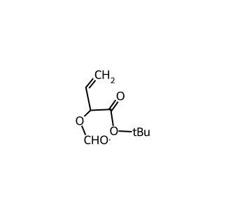 C=CC(O[C]=O)C(=O)OC(C)(C)C